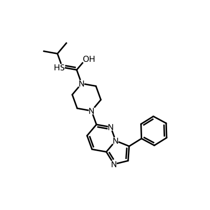 CC(C)[SH]=C(O)N1CCN(c2ccc3ncc(-c4ccccc4)n3n2)CC1